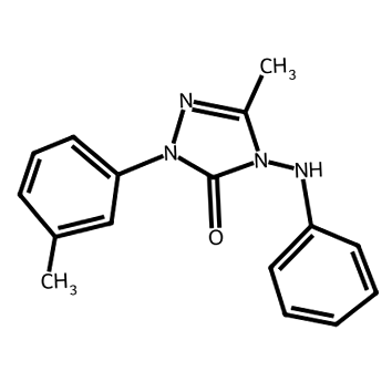 Cc1cccc(-n2nc(C)n(Nc3ccccc3)c2=O)c1